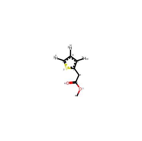 [2H]c1sc(CC(=O)OC)c([2H])c1[2H]